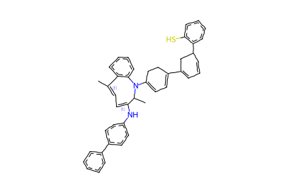 C/C1=C\C=C(\Nc2ccc(-c3ccccc3)cc2)C(C)N(C2=CC=C(C3=CC=CC(c4ccccc4S)C3)CC2)c2ccccc21